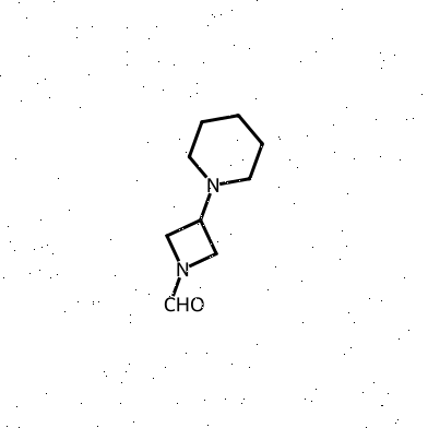 O=CN1CC(N2CCCCC2)C1